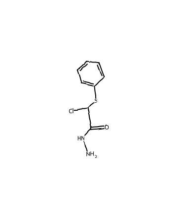 NNC(=O)C(Cl)Sc1ccccc1